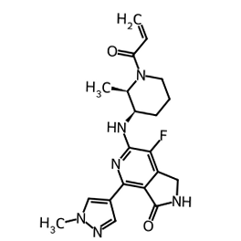 C=CC(=O)N1CCC[C@@H](Nc2nc(-c3cnn(C)c3)c3c(c2F)CNC3=O)[C@H]1C